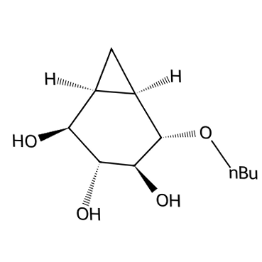 CCCCO[C@@H]1[C@@H](O)[C@H](O)[C@@H](O)[C@H]2C[C@H]21